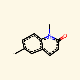 [CH2]c1ccc2c(ccc(=O)n2C)c1